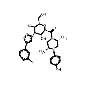 C[C@@H]1CN(c2ccc(O)cc2)[C@@H](C)CN1C(=O)[C@@H]1O[C@H](CO)[C@H](O)[C@H](n2cc(-c3cccc(F)c3)nn2)[C@H]1O